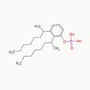 CCCCCCC(C)c1cccc(OP(=O)(O)O)c1C(C)CCCCCC